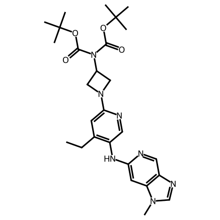 CCc1cc(N2CC(N(C(=O)OC(C)(C)C)C(=O)OC(C)(C)C)C2)ncc1Nc1cc2c(cn1)ncn2C